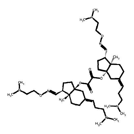 CN(C)CCC=C1CC[C@]2(C)[C@@H](C=NOCCN(C)C)CC[C@]2(OC(=O)C(=O)O[C@]23CC[C@H](C=NOCCN(C)C)[C@@]2(C)CCC(=CCCN(C)C)C3)C1